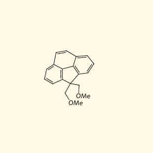 COCC1(COC)c2cccc3ccc4cccc1c4c23